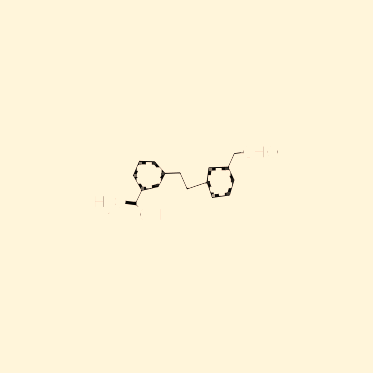 C=C(C)c1cccc(CCc2cccc(CC=O)c2)c1